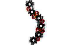 O=S(=O)(c1ccc(Oc2ccccc2)cc1)c1ccc(Oc2ccc(S(=O)(=O)c3ccc(Oc4ccccc4)cc3)cc2)cc1